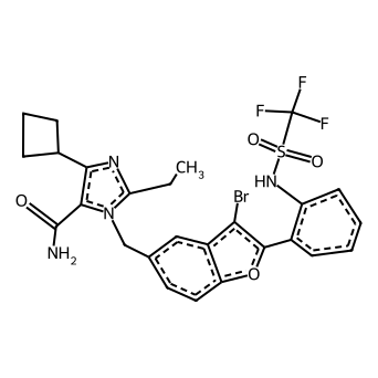 CCc1nc(C2CCC2)c(C(N)=O)n1Cc1ccc2oc(-c3ccccc3NS(=O)(=O)C(F)(F)F)c(Br)c2c1